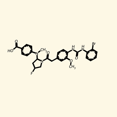 COc1cc(CC(=O)N2CC(F)CC2N(C)c2ccc(C(=O)O)cc2)ccc1NC(=O)Nc1ccccc1Br